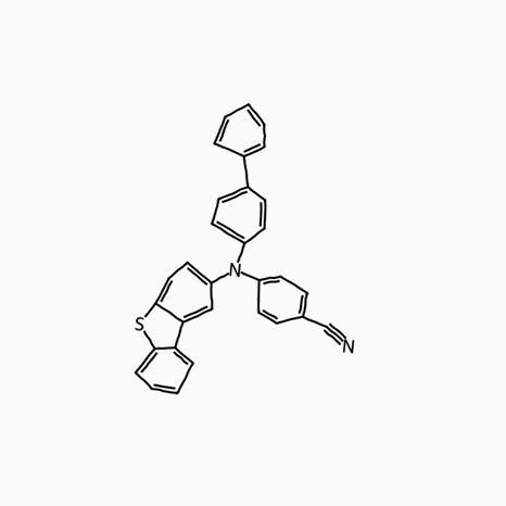 N#Cc1ccc(N(c2ccc(-c3ccccc3)cc2)c2ccc3sc4ccccc4c3c2)cc1